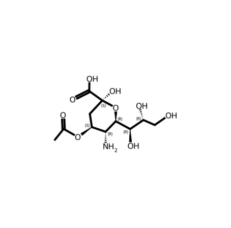 CC(=O)O[C@H]1C[C@@](O)(C(=O)O)O[C@@H]([C@H](O)[C@H](O)CO)[C@@H]1N